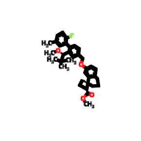 COC(=O)[C@H]1CC[C@]12CCCc1ccc(OCc3ccc(-c4cc(C)ccc4F)c([C@@H](OC)C(C)(C)C)c3)cc12